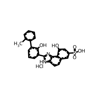 Cc1ccccc1-c1cccc(-c2nc3c(ccc4cc(S(=O)(=O)O)cc(O)c43)[nH]2)c1O.Cl